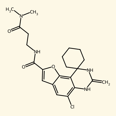 C=C1Nc2c(Cl)cc3cc(C(=O)NCCC(=O)N(C)C)oc3c2C2(CCCCC2)N1